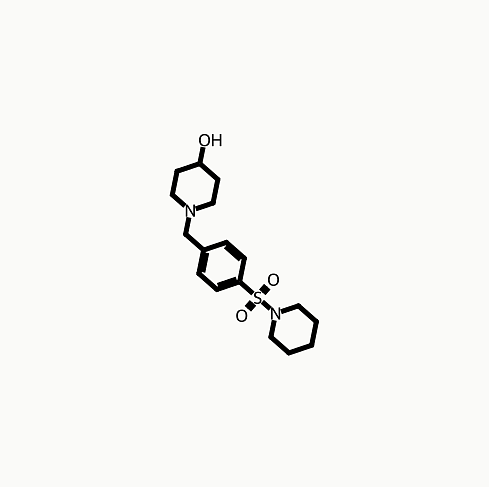 O=S(=O)(c1ccc(CN2CCC(O)CC2)cc1)N1CCCCC1